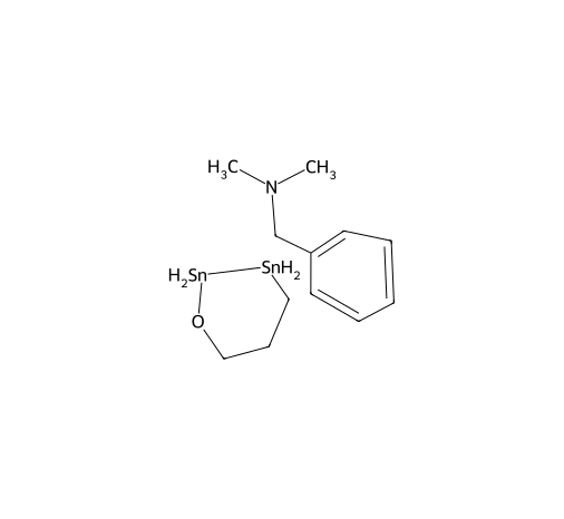 C1C[O][SnH2][SnH2][CH2]1.CN(C)Cc1ccccc1